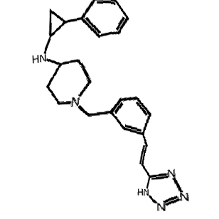 C(=Cc1nnn[nH]1)c1cccc(CN2CCC(NC3CC3c3ccccc3)CC2)c1